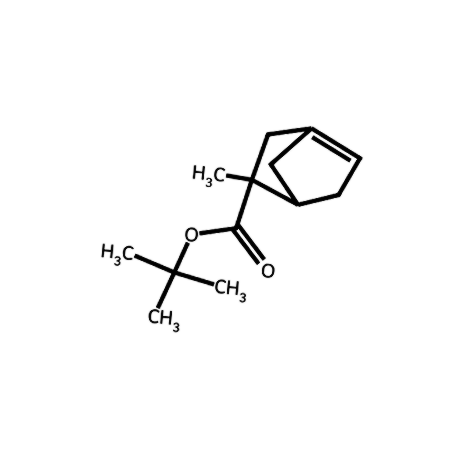 CC(C)(C)OC(=O)C1(C)CC2=CCC1C2